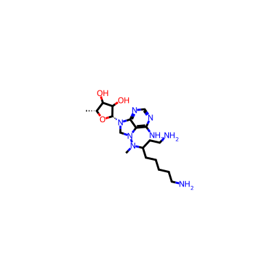 C[C@H]1O[C@@H](N2CN(N(C)C(CCN)CCCCCN)c3c(N)ncnc32)C(O)C1O